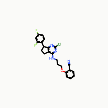 N#Cc1ccccc1OCCCNc1nc(Cl)nc2c1CCC2c1ccc(F)cc1F